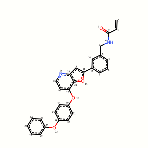 C=CC(=O)NCc1cccc(-c2cc3nccc(Oc4ccc(Oc5ccccc5)cc4)c3o2)c1